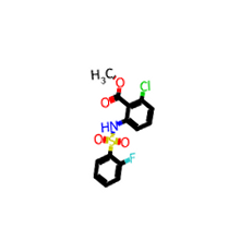 COC(=O)c1c(Cl)cccc1NS(=O)(=O)c1ccccc1F